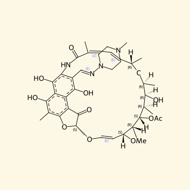 CO[C@@H]1/C=C/O[C@@]2(C)Oc3c(C)c(O)c4c(O)c(c(/C=N/N5CCN(C)CC5)c(O)c4c3C2=O)NC(=O)/C(C)=C\C=C\[C@H](C)C[C@@H](C)[C@@H](O)[C@@H](C)[C@H](OC(C)=O)[C@@H]1C